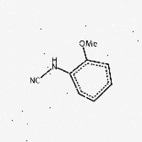 COc1ccccc1NC#N